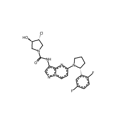 O=C(Nc1cnn2ccc(N3CCC[C@@H]3c3cc(F)ccc3F)nc12)N1C[C@@H](O)[C@H](Cl)C1